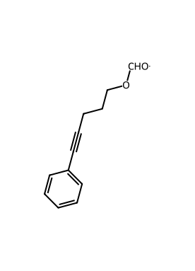 O=[C]OCCCC#Cc1ccccc1